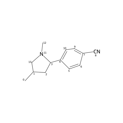 CC1CC(c2ccc(C#N)cc2)N(C)C1